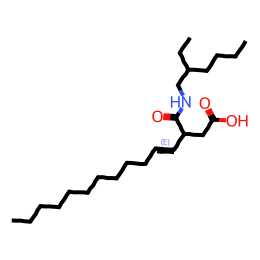 CCCCCCCCCC/C=C/C(CC(=O)O)C(=O)NCC(CC)CCCC